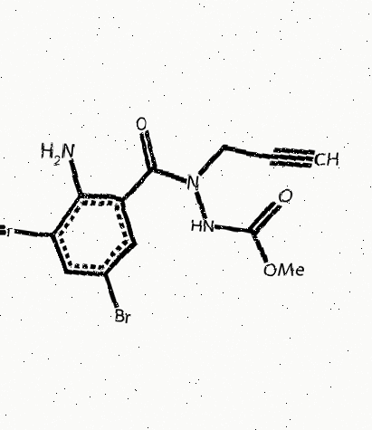 C#CCN(NC(=O)OC)C(=O)c1cc(Br)cc(Br)c1N